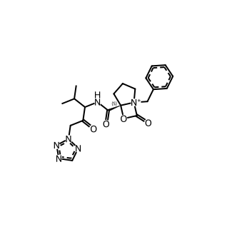 CC(C)C(NC(=O)[C@@]12CCC[N+]1(Cc1ccccc1)C(=O)O2)C(=O)Cn1ncnn1